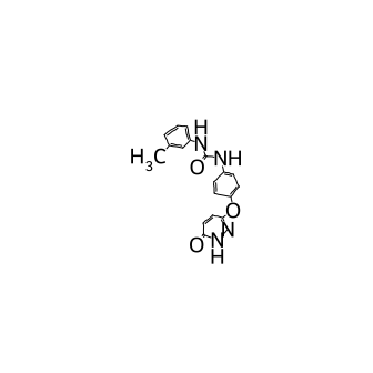 Cc1cccc(NC(=O)Nc2ccc(Oc3ccc(=O)[nH]n3)cc2)c1